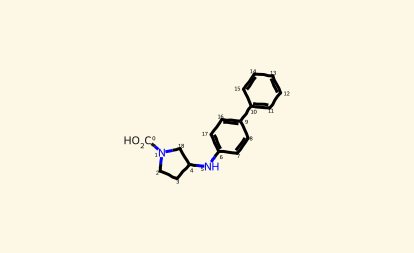 O=C(O)N1CCC(Nc2ccc(-c3ccccc3)cc2)C1